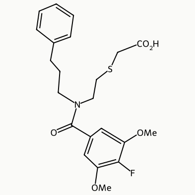 COc1cc(C(=O)N(CCCc2ccccc2)CCSCC(=O)O)cc(OC)c1F